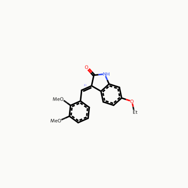 CCOc1ccc2c(c1)NC(=O)/C2=C/c1cccc(OC)c1OC